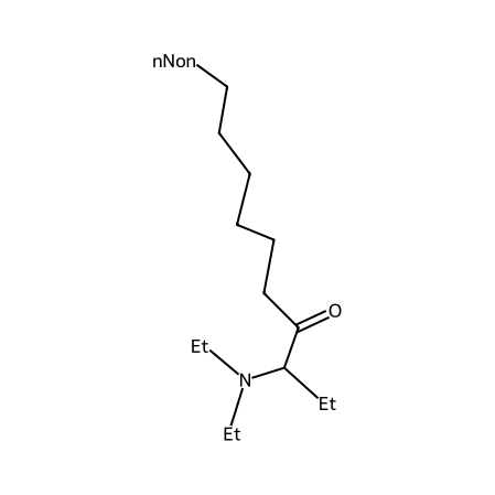 CCCCCCCCCCCCCCCC(=O)C(CC)N(CC)CC